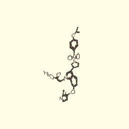 CC(C)Oc1ccc(S(=O)(=O)N2CCC(c3cn(CC(=O)O)c4cc(Oc5ccnn5C)ccc34)C2)cc1